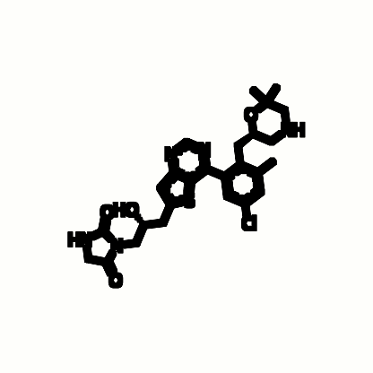 Cc1cc(Cl)cc(-c2ncnc3cc(C[C@@H](O)CN4C(=O)CNC4=O)sc23)c1C[C@@H]1CNCC(C)(C)O1